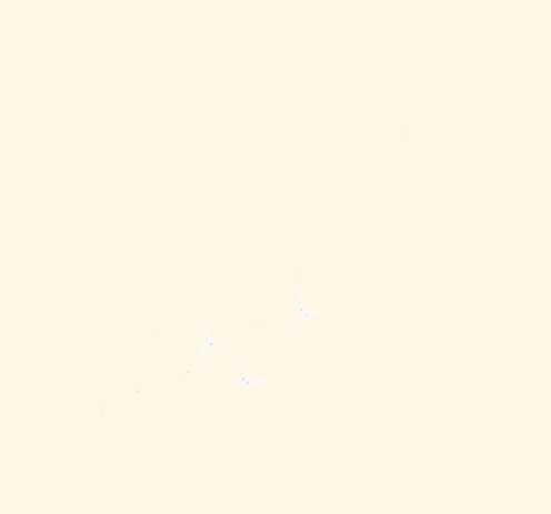 Cc1cnc(-n2ccc(Cl)c(C(C)(C)O)c2=O)cc1-n1c(C)cc(OCc2ccc(F)c(F)c2)cc1=O